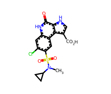 CN(C1CC1)S(=O)(=O)c1cc2c(cc1Cl)[nH]c(=O)c1[nH]cc(C(=O)O)c12